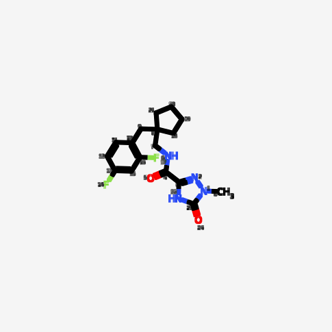 Cn1nc(C(=O)NCC2(Cc3ccc(F)cc3F)CCCC2)[nH]c1=O